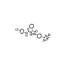 CN(C)C(=NS(C)(=O)=O)c1ccc(NC(=O)C(NC(=O)Nc2ccc(Cl)cc2)c2ccccc2)cc1